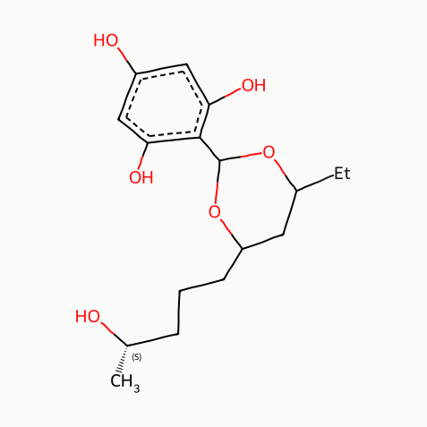 CCC1CC(CCC[C@H](C)O)OC(c2c(O)cc(O)cc2O)O1